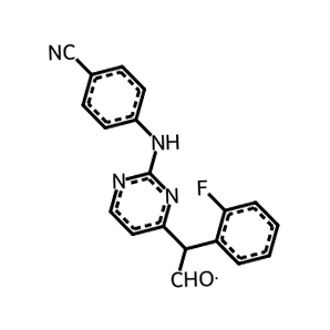 N#Cc1ccc(Nc2nccc(C([C]=O)c3ccccc3F)n2)cc1